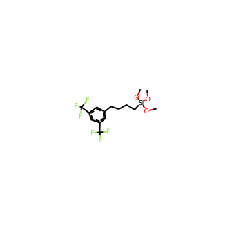 CO[Si](CCCCc1cc(C(F)(F)F)cc(C(F)(F)F)c1)(OC)OC